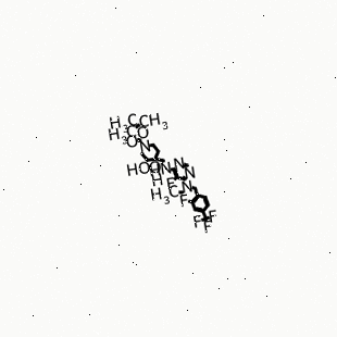 CCN(Cc1ccc(C(F)(F)F)cc1F)c1ncnc(NC[C@@]2(O)CCN(C(=O)OC(C)(C)C)C[C@@H]2O)c1F